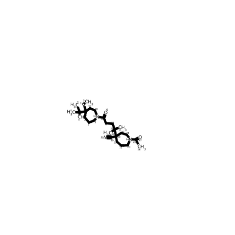 COC1(C(C)(C)C)CCCN(C(=O)CCC(C)(C)C2(C#N)CCCN(C(C)=O)CC2)CC1